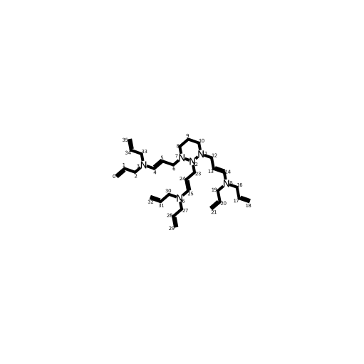 C=CCN(C=CCN1CCCN(CC=CN(CC=C)CC=C)N1CC=CN(CC=C)CC=C)CC=C